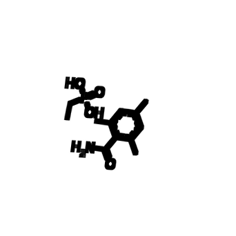 CCP(=O)(O)O.Cc1cc(C)c(C(N)=O)c(C)c1